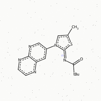 Cc1cn(-c2cnc3nccnc3c2)/c(=N/C(=O)C(C)(C)C)s1